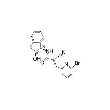 N#CC(=Cc1cccc(Br)n1)C(=O)N[C@@H]1c2ccccc2C[C@@H]1O